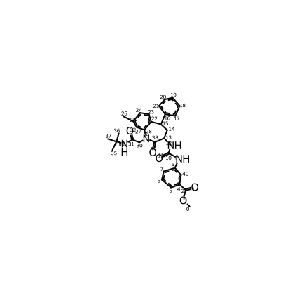 COC(=O)c1cccc(NC(=O)NC2CC(c3ccccc3)c3ccc(C)cc3N(CC(=O)NC(C)(C)C)C2=O)c1